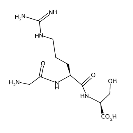 N=C(N)NCCC[C@H](NC(=O)CN)C(=O)N[C@@H](CO)C(=O)O